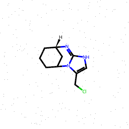 ClCC1=CNC2=N[C@H]3CCCC(C3)N12